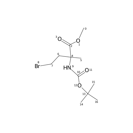 COC(=O)C(C)(CCBr)NC(=O)OC(C)(C)C